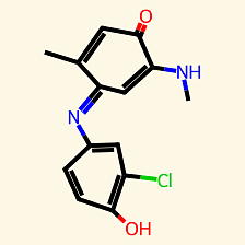 CNC1=CC(=Nc2ccc(O)c(Cl)c2)C(C)=CC1=O